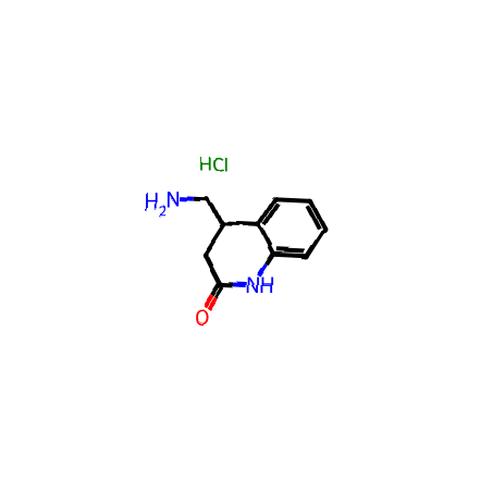 Cl.NCC1CC(=O)Nc2ccccc21